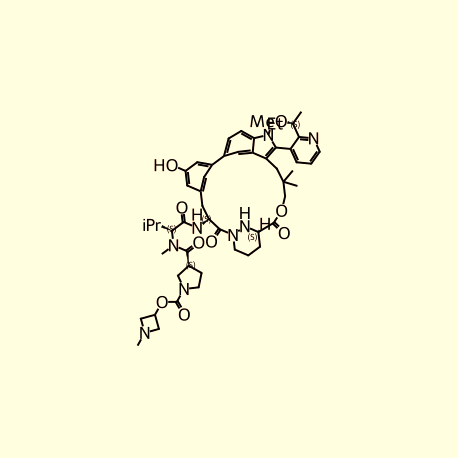 CCn1c(-c2cccnc2[C@H](C)OC)c2c3cc(ccc31)-c1cc(O)cc(c1)C[C@H](NC(=O)[C@H](C(C)C)N(C)C(=O)[C@H]1CCN(C(=O)OC3CN(C)C3)C1)C(=O)N1CCC[C@H](N1)C(=O)OCC(C)(C)C2